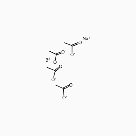 CC(=O)[O-].CC(=O)[O-].CC(=O)[O-].CC(=O)[O-].[B+3].[Na+]